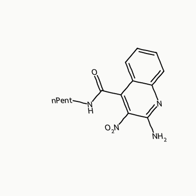 CCCCCNC(=O)c1c([N+](=O)[O-])c(N)nc2ccccc12